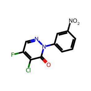 O=c1c(Cl)c(F)cnn1-c1cccc([N+](=O)[O-])c1